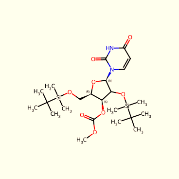 COC(=O)O[C@@H]1C(O[Si](C)(C)C(C)(C)C)[C@H](n2ccc(=O)[nH]c2=O)O[C@@H]1CO[Si](C)(C)C(C)(C)C